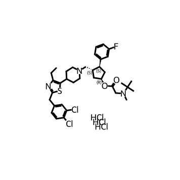 CCc1nc(Cc2ccc(Cl)c(Cl)c2)sc1C1CCN(C[C@H]2C[C@H](OC(=O)CN(C)C(C)(C)C)C[C@@H]2c2cccc(F)c2)CC1.Cl.Cl.Cl